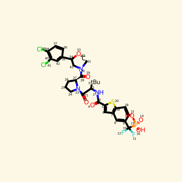 CC(C)(C)C(NC(=O)c1cc2cc(C(F)(F)P(=O)(O)O)ccc2s1)C(=O)N1CCC[C@H]1C(=O)N1CCOC(c2ccc(Cl)c(Cl)c2)C1